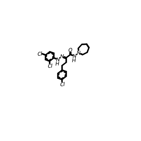 O=C(NN1CCCCCC1)/C(CCc1ccc(Cl)cc1)=N/Nc1ccc(Cl)cc1Cl